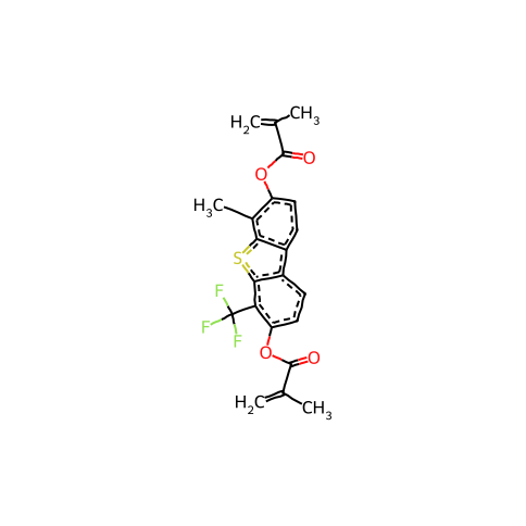 C=C(C)C(=O)Oc1ccc2c(sc3c(C(F)(F)F)c(OC(=O)C(=C)C)ccc32)c1C